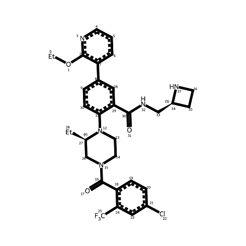 CCOc1ncccc1-c1ccc(N2CCN(C(=O)c3ccc(Cl)cc3C(F)(F)F)C[C@H]2CC)c(C(=O)NC[C@@H]2CCN2)c1